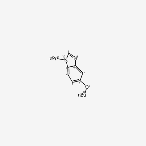 CCCCOc1ccc2c(c1)n[c]n2CCC